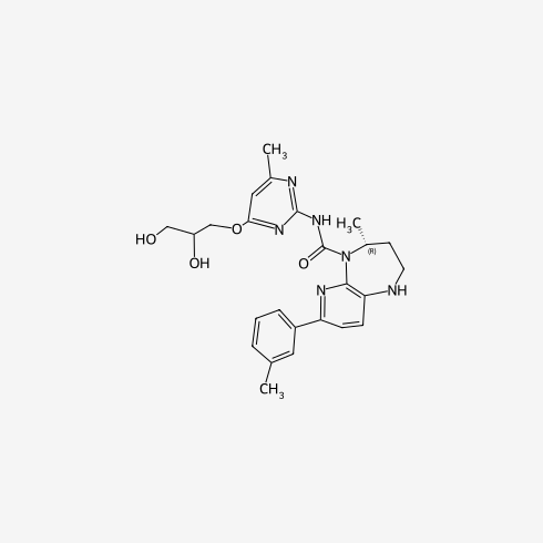 Cc1cccc(-c2ccc3c(n2)N(C(=O)Nc2nc(C)cc(OCC(O)CO)n2)[C@H](C)CCN3)c1